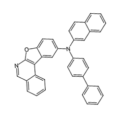 c1ccc(-c2ccc(N(c3ccc4ccccc4c3)c3ccc4oc5ncc6ccccc6c5c4c3)cc2)cc1